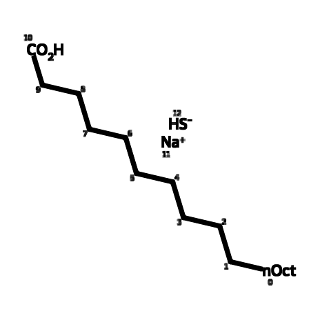 CCCCCCCCCCCCCCCCCC(=O)O.[Na+].[SH-]